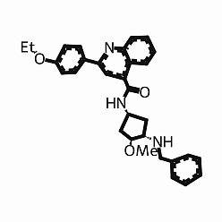 CCOc1ccc(-c2cc(C(=O)N[C@@H]3C[C@H](NCc4ccccc4)[C@H](OC)C3)c3ccccc3n2)cc1